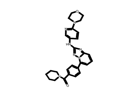 O=C(c1ccc(-c2cccc3nc(Nc4ccc(N5CCOCC5)nc4)nn23)cc1)N1CCCCC1